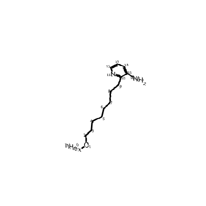 CCCCCCOCCCCCCCCc1ncccc1N